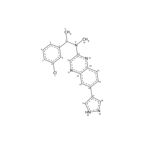 CC(c1cccc(Cl)c1)N(C)c1cnc2cc(-c3cn[nH]c3)ccc2n1